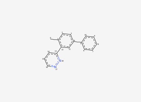 Cc1ccc(-c2ccccc2)cc1-c1cccnn1